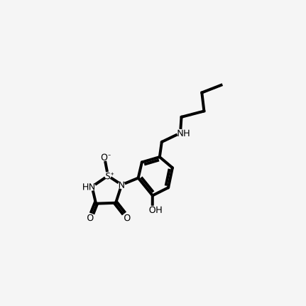 CCCCNCc1ccc(O)c(-n2c(=O)c(=O)[nH][s+]2[O-])c1